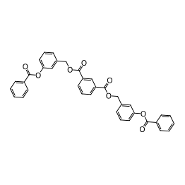 O=C(OCc1cccc(OC(=O)c2ccccc2)c1)c1cccc(C(=O)OCc2cccc(OC(=O)c3ccccc3)c2)c1